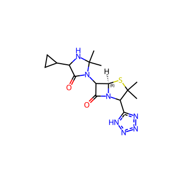 CC1(C)S[C@@H]2C(N3C(=O)C(C4CC4)NC3(C)C)C(=O)N2C1c1nnn[nH]1